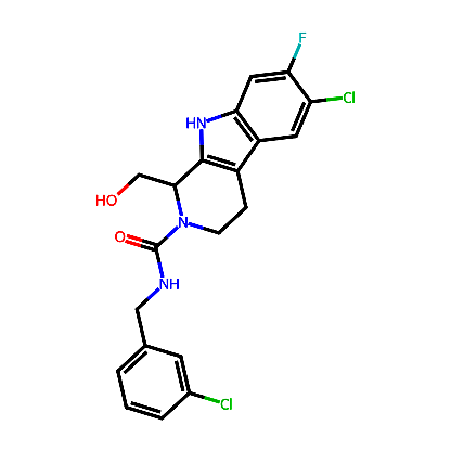 O=C(NCc1cccc(Cl)c1)N1CCc2c([nH]c3cc(F)c(Cl)cc23)C1CO